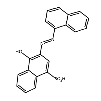 O=S(=O)(O)c1cc(/N=N/c2cccc3ccccc23)c(O)c2ccccc12